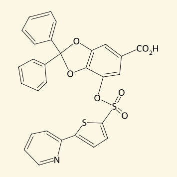 O=C(O)c1cc2c(c(OS(=O)(=O)c3ccc(-c4ccccn4)s3)c1)OC(c1ccccc1)(c1ccccc1)O2